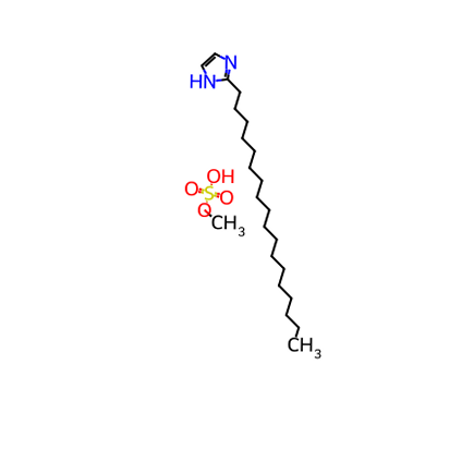 CCCCCCCCCCCCCCCCCCc1ncc[nH]1.COS(=O)(=O)O